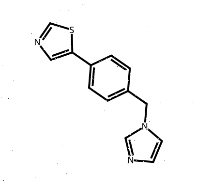 c1cn(Cc2ccc(-c3cncs3)cc2)cn1